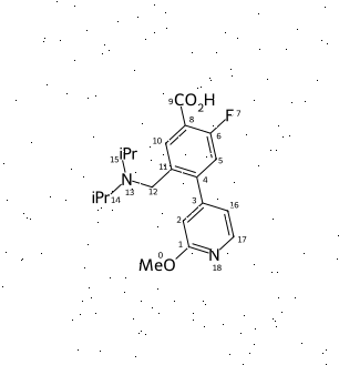 COc1cc(-c2cc(F)c(C(=O)O)cc2CN(C(C)C)C(C)C)ccn1